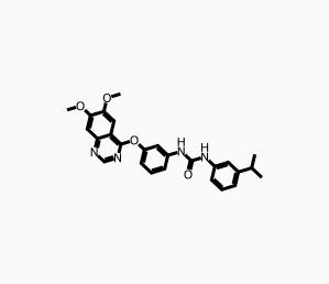 COc1cc2ncnc(Oc3cccc(NC(=O)Nc4cccc(C(C)C)c4)c3)c2cc1OC